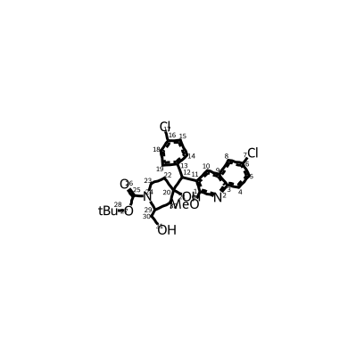 COc1nc2ccc(Cl)cc2cc1C(c1ccc(Cl)cc1)C1(O)CCN(C(=O)OC(C)(C)C)C(CO)C1